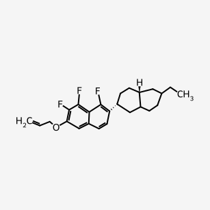 C=CCOc1cc2ccc([C@@H]3CC[C@@H]4CC(CC)CCC4C3)c(F)c2c(F)c1F